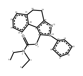 CCN(CC)C(=O)Oc1c2c(nn1-c1ccccc1)CCc1ccccc1-2